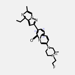 CCc1nc(C)cn2nc(C3=C\C(=O)N4C=C(N5CCN(CCF)[C@H](C)C5)C=C\C4=C/C=C/3)cc12